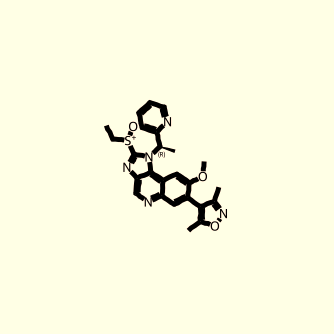 CC[S+]([O-])c1nc2cnc3cc(-c4c(C)noc4C)c(OC)cc3c2n1[C@H](C)c1ccccn1